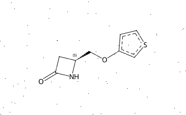 O=C1C[C@@H](COc2ccsc2)N1